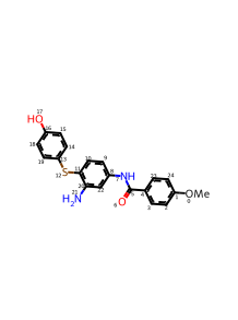 COc1ccc(C(=O)Nc2ccc(Sc3ccc(O)cc3)c(N)c2)cc1